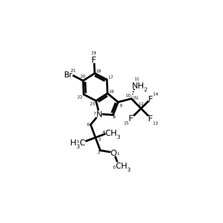 COCC(C)(C)Cn1cc([C@H](N)C(F)(F)F)c2cc(F)c(Br)cc21